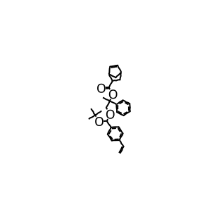 C=Cc1ccc(C(OCC(C)(OC(=O)C2CC3C=CC2C3)c2ccccc2)OC(C)(C)C)cc1